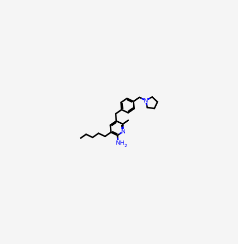 CCCCCc1cc(Cc2ccc(CN3CCCC3)cc2)c(C)nc1N